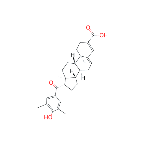 Cc1cc(C(=O)[C@H]2CC[C@H]3[C@@H]4CC=C5C=C(C(=O)O)CC[C@]5(C)[C@H]4CC[C@]23C)cc(C)c1O